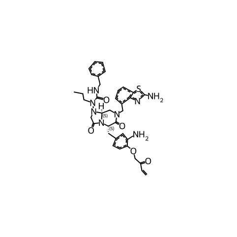 C=CC(=O)COc1ccc(C[C@H]2C(=O)N(Cc3cccc4sc(N)nc34)C[C@H]3N2C(=O)CN3N(CCC)C(=O)NCc2ccccc2)cc1N